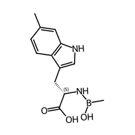 CB(O)N[C@@H](Cc1c[nH]c2cc(C)ccc12)C(=O)O